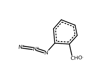 [N-]=[N+]=Nc1ccccc1[C]=O